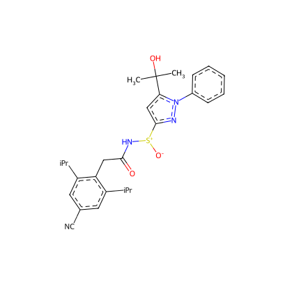 CC(C)c1cc(C#N)cc(C(C)C)c1CC(=O)N[S+]([O-])c1cc(C(C)(C)O)n(-c2ccccc2)n1